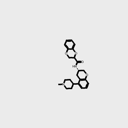 CN1CCC(c2cccc3c2C[C@H](NC(=O)C2COc4ccccc4O2)CO3)CC1